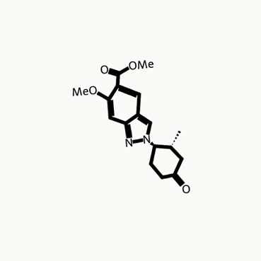 COC(=O)c1cc2cn([C@@H]3CCC(=O)C[C@H]3C)nc2cc1OC